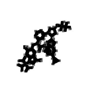 CC(C)[Si](C(C)C)(C(C)C)n1cc(Cl)c2cc(CN(C(=O)OC(C)(C)C)c3cc(N4C[C@@H](O[Si](C)(C)C(C)(C)C)C[C@@H]4c4cn5cc(C6CC6)ccc5n4)ncn3)c(F)cc21